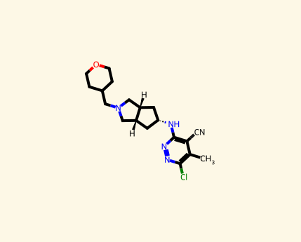 Cc1c(Cl)nnc(N[C@@H]2C[C@@H]3CN(CC4CCOCC4)C[C@@H]3C2)c1C#N